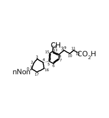 CCCCCCCCC[C@H]1CC[C@H](c2ccc(CCCC(=O)O)c(C)c2)CC1